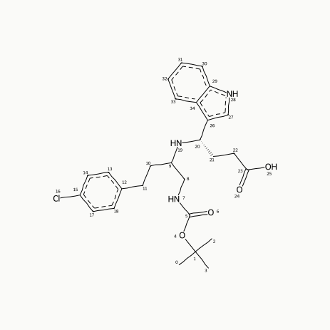 CC(C)(C)OC(=O)NCC(CCc1ccc(Cl)cc1)N[C@@H](CCC(=O)O)c1c[nH]c2ccccc12